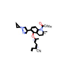 C=C/C(C#N)=C\C=C(/C)Oc1c(-c2cnn(C3CC3)c2)ccc2c1CC[C@H](C)N2C(=O)OC